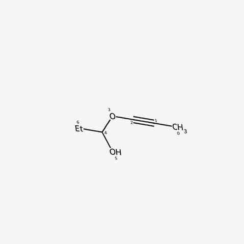 CC#COC(O)CC